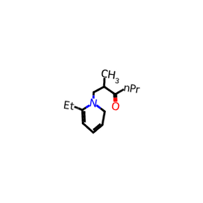 CCCC(=O)C(C)CN1CC=CC=C1CC